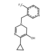 OC1=C(C2CC2)N=CN(Cc2cnccc2C(F)(F)F)C1